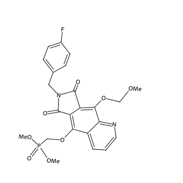 COCOc1c2c(c(OCP(=O)(OC)OC)c3cccnc13)C(=O)N(Cc1ccc(F)cc1)C2=O